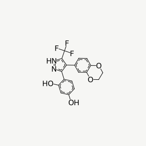 Oc1ccc(-c2n[nH]c(C(F)(F)F)c2-c2ccc3c(c2)OCCO3)c(O)c1